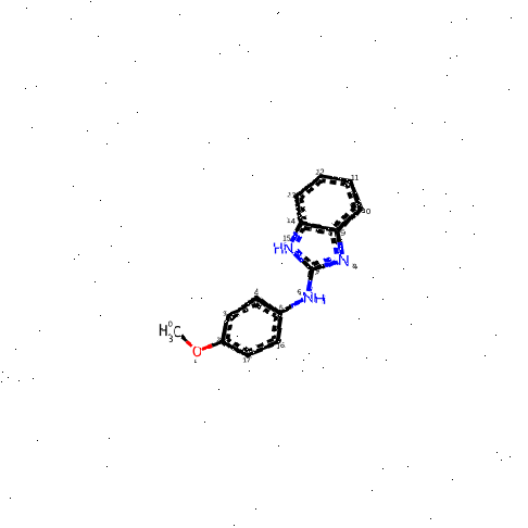 COc1ccc(Nc2nc3ccccc3[nH]2)cc1